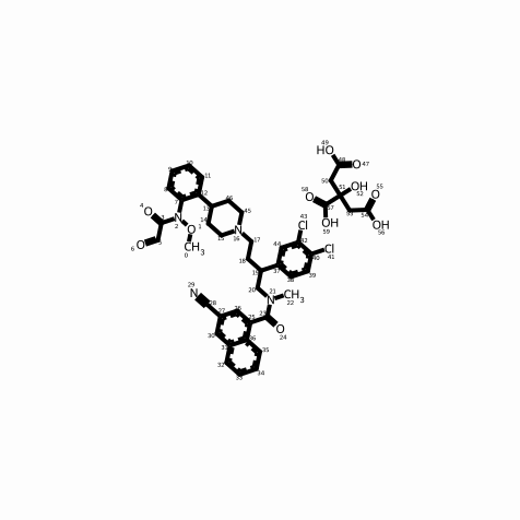 CON(C(=O)C=O)c1ccccc1C1CCN(CCC(CN(C)C(=O)c2cc(C#N)cc3ccccc23)c2ccc(Cl)c(Cl)c2)CC1.O=C(O)CC(O)(CC(=O)O)C(=O)O